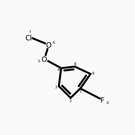 Fc1ccc(OOCl)cc1